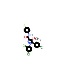 COc1c(C(=O)Nc2ccc(F)cc2)nn(-c2ccc(Cl)cc2Cl)c1-c1ccc(Cl)cc1